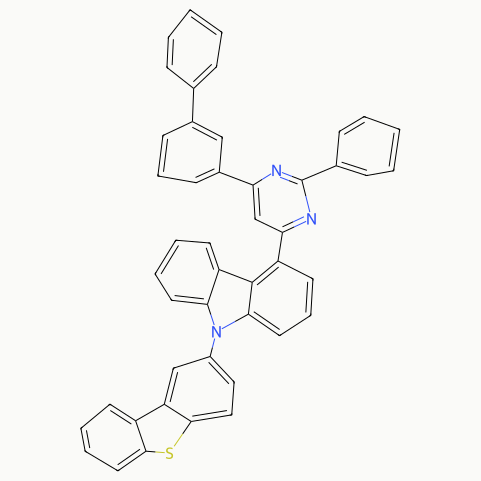 c1ccc(-c2cccc(-c3cc(-c4cccc5c4c4ccccc4n5-c4ccc5sc6ccccc6c5c4)nc(-c4ccccc4)n3)c2)cc1